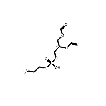 NCCOP(=O)(O)OC[C@@H](COC=O)OC=O